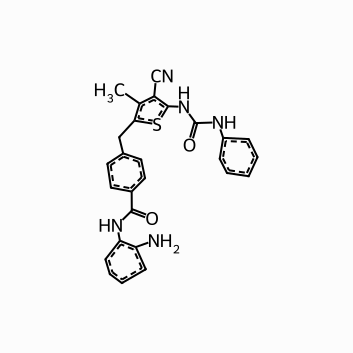 Cc1c(Cc2ccc(C(=O)Nc3ccccc3N)cc2)sc(NC(=O)Nc2ccccc2)c1C#N